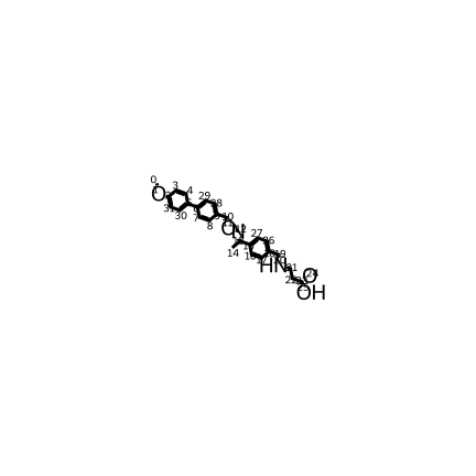 COc1ccc(-c2ccc(CO/N=C(\C)c3ccc(CNCCC(=O)O)cc3)cc2)cc1